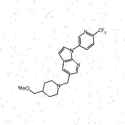 COCC1CCN(Cc2cnc3c(ccn3-c3ccc(C(F)(F)F)nc3)c2)CC1